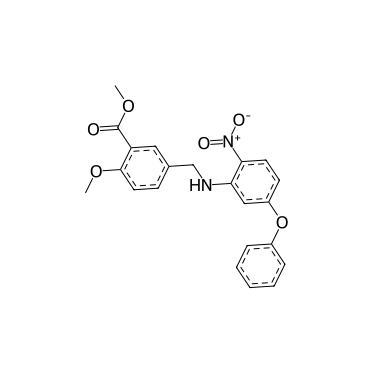 COC(=O)c1cc(CNc2cc(Oc3ccccc3)ccc2[N+](=O)[O-])ccc1OC